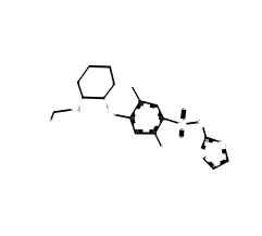 CCN[C@@H]1CCCC[C@H]1Oc1cc(F)c(S(=O)(=O)Nc2nccs2)cc1Cl